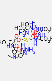 C#CCN(Cc1ccc2nc(N)[nH]c(=O)c2c1)c1ccc(C(=O)NC(CCC(=O)OCCSSCCC(=O)NC(CC(=O)O)C(=O)NC(CC(=O)O)C(=O)NC(CC(=O)O)C(=O)NC(CN)C(=O)O)C(=O)O)cc1